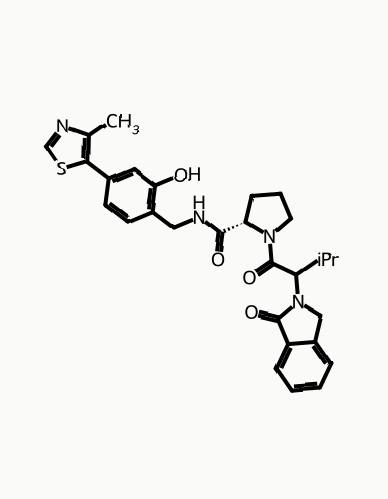 Cc1ncsc1-c1ccc(CNC(=O)[C@@H]2CCCN2C(=O)C(C(C)C)N2Cc3ccccc3C2=O)c(O)c1